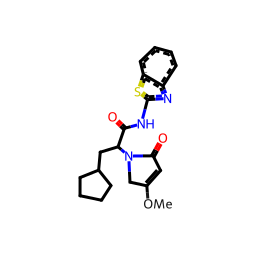 COC1=CC(=O)N(C(CC2CCCC2)C(=O)Nc2nc3ccccc3s2)C1